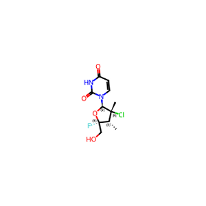 C[C@H]1[C@@](C)(Cl)[C@H](n2ccc(=O)[nH]c2=O)O[C@]1(F)CO